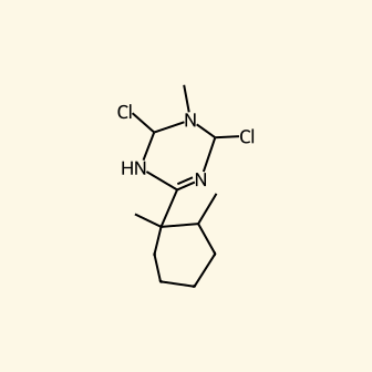 CC1CCCCC1(C)C1=NC(Cl)N(C)C(Cl)N1